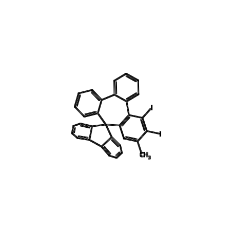 Cc1cc2c(c(I)c1I)-c1ccccc1-c1ccccc1C21c2ccccc2-c2ccccc21